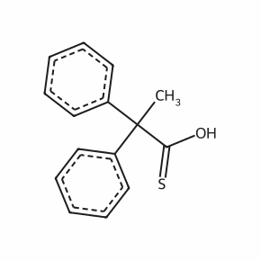 CC(C(O)=S)(c1ccccc1)c1ccccc1